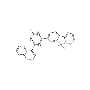 Cc1nc(-c2ccc3c(c2)C(C)(C)c2ccccc2-3)nc(-c2cccc3ccccc23)n1